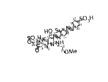 COCCCNc1nc(N(C)CCS(=O)(=O)CCOS(=O)(=O)O)c(C#N)c(C)c1/N=N/c1ccc(/N=N/c2ccc(S(=O)(=O)O)cc2)cc1S(=O)(=O)O